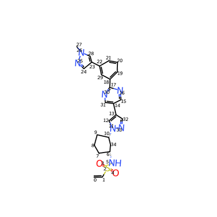 C=CS(=O)(=O)N[C@@H]1CCC[C@H](n2cc(-c3cnc(-c4cccc(-c5cnn(C)c5)c4)nc3)cn2)C1